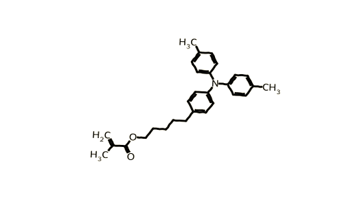 C=C(C)C(=O)OCCCCCc1ccc(N(c2ccc(C)cc2)c2ccc(C)cc2)cc1